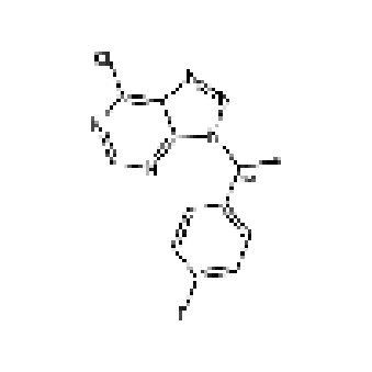 C[C@@H](c1ccc(F)cc1)n1nnc2c(Cl)ncnc21